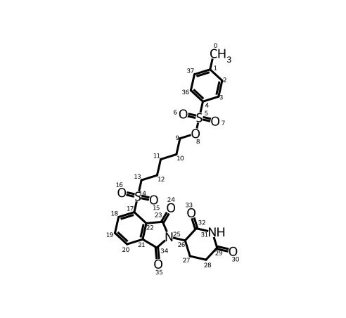 Cc1ccc(S(=O)(=O)OCCCCCS(=O)(=O)c2cccc3c2C(=O)N(C2CCC(=O)NC2=O)C3=O)cc1